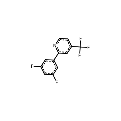 Fc1cc(F)cc(-c2cc(C(F)(F)F)ccn2)c1